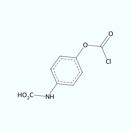 O=C(O)Nc1ccc(OC(=O)Cl)cc1